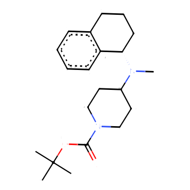 CN(C1CCN(C(=O)OC(C)(C)C)CC1)[C@H]1CCCc2ccccc21